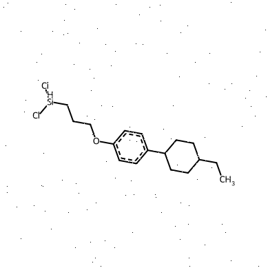 CCC1CCC(c2ccc(OCCC[SiH](Cl)Cl)cc2)CC1